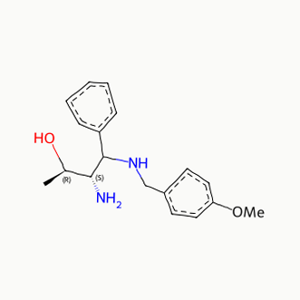 COc1ccc(CNC(c2ccccc2)[C@H](N)[C@@H](C)O)cc1